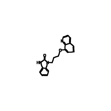 O=c1[nH]c2ccccc2n1CCCOc1cccc2cccnc12